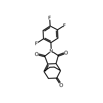 O=C1CC2=C3C(=O)N(c4cc(F)c(F)cc4F)C(=O)C3C1CC2